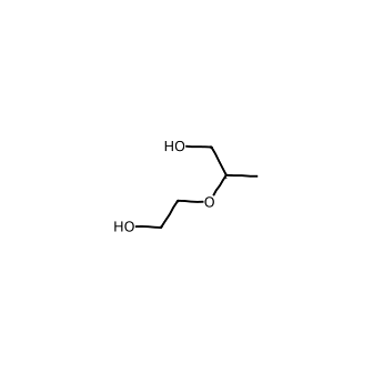 C[C](CO)OCCO